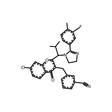 Cc1ccc(C2=NCCN2C(c2oc3cc(Cl)ccc3c(=O)c2Cc2cccc(C#N)c2)C(C)C)cc1F